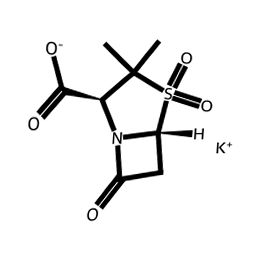 CC1(C)[C@H](C(=O)[O-])N2C(=O)C[C@H]2S1(=O)=O.[K+]